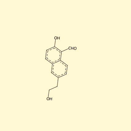 O=Cc1c(O)ccc2cc(CCO)ccc12